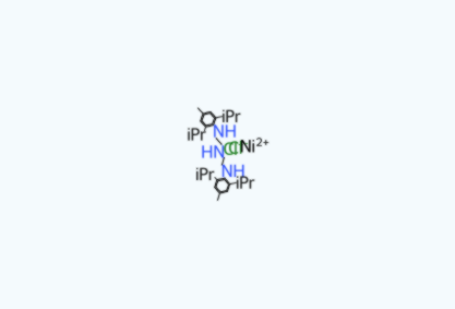 Cc1cc(C(C)C)c(NCCNCCNc2c(C(C)C)cc(C)cc2C(C)C)c(C(C)C)c1.[Cl-].[Cl-].[Ni+2]